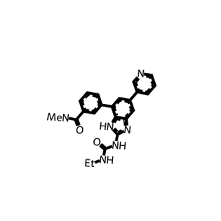 CCNC(=O)Nc1nc2cc(-c3cccnc3)cc(-c3cccc(C(=O)NC)c3)c2[nH]1